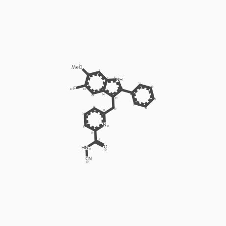 COc1cc2[nH]c(-c3ccccc3)c(Cc3cccc(C(=O)NC#N)n3)c2cc1F